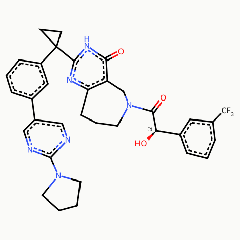 O=C([C@H](O)c1cccc(C(F)(F)F)c1)N1CCCc2nc(C3(c4cccc(-c5cnc(N6CCCC6)nc5)c4)CC3)[nH]c(=O)c2C1